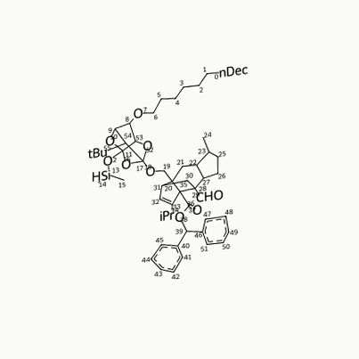 CCCCCCCCCCCCCCCCOC1C2OC3(O[SiH](C)C)OC(OCC45CC6C(C)CCC6C6(C=O)CC4C=C(C(C)C)C65C(=O)OC(c4ccccc4)c4ccccc4)(OC13)C2C(C)(C)C